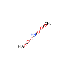 COCCOCCOCCNCCOCCOCCOC